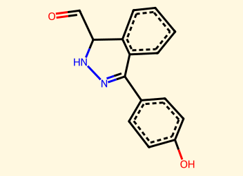 O=CC1NN=C(c2ccc(O)cc2)c2ccccc21